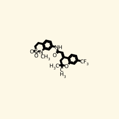 CN1c2cc(NC(=O)C=C3CC(C)(C)Oc4cc(C(F)(F)F)ccc43)ccc2CCS1(=O)=O